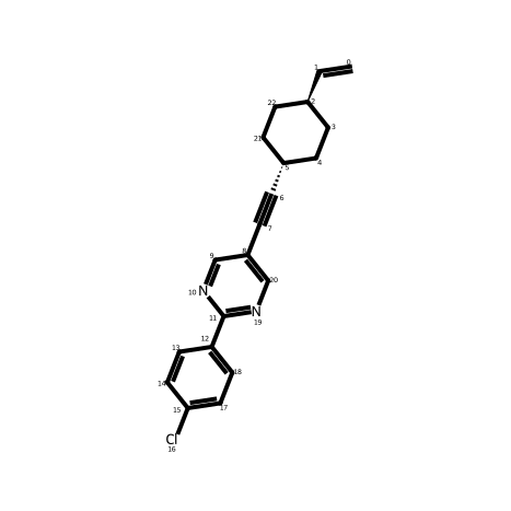 C=C[C@H]1CC[C@H](C#Cc2cnc(-c3ccc(Cl)cc3)nc2)CC1